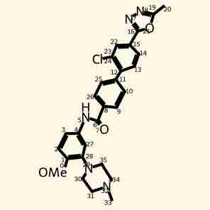 COc1ccc(NC(=O)c2ccc(-c3ccc(-c4nnc(C)o4)cc3Cl)cc2)cc1N1CCN(C)CC1